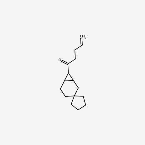 C=CCCC(=O)C1C2CCC3(CCCC3)CC21